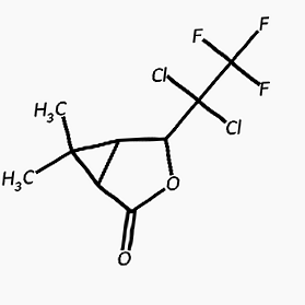 CC1(C)C2C(=O)OC(C(Cl)(Cl)C(F)(F)F)C21